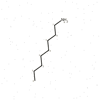 CCCC[CH]CCCN